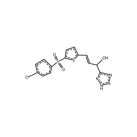 O=S(=O)(c1ccc(Cl)cc1)c1ccc(C=CC(O)c2nn[nH]n2)s1